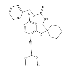 CCOC(C#Cc1cnc(Cl)nc1NC1(CNC(=O)OCc2ccccc2)CCCCC1)OCC